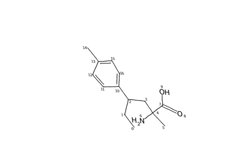 CCC(CC(C)(N)C(=O)O)c1ccc(C)cc1